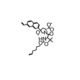 C=CCCCCOC(=O)NC(C(=O)N1C[C@](OC)(c2ccc3ccc(C=C)cc3c2)C[C@H]1C(=O)OC)C(C)(C)C